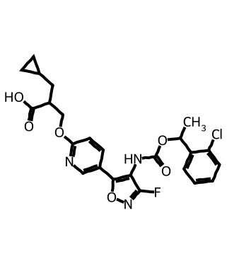 CC(OC(=O)Nc1c(F)noc1-c1ccc(OCC(CC2CC2)C(=O)O)nc1)c1ccccc1Cl